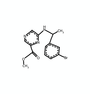 COC(=O)c1cncc(NC(C)c2cccc(Br)c2)n1